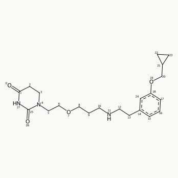 O=C1CCN(CCOCCCNCCc2cccc(OCC3CC3)c2)C(=O)N1